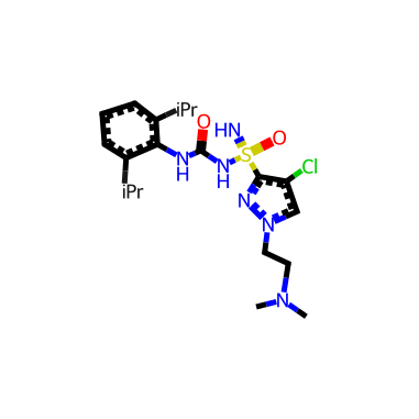 CC(C)c1cccc(C(C)C)c1NC(=O)NS(=N)(=O)c1nn(CCN(C)C)cc1Cl